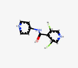 O=C(Nc1ccncc1)c1c(F)cncc1F